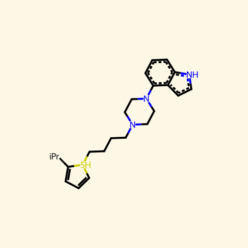 CC(C)C1=CC=C[SH]1CCCCN1CCN(c2cccc3[nH]ccc23)CC1